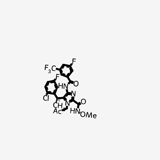 CONC(=O)c1nc(NC(=O)c2cc(F)cc(C(F)(F)F)c2)c([C@@H](C)c2cc(F)ccc2Cl)n1CC(C)=O